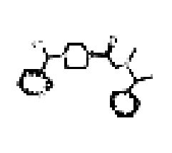 CC(c1ccccc1)N(C)CC(=O)N1CCN(C(C#N)c2cccnc2)CC1